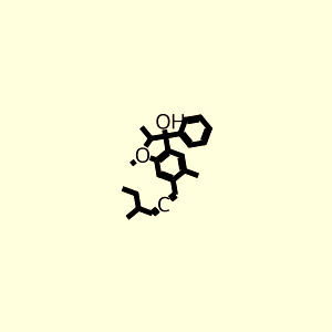 CCC(C)C=C=Cc1cc(OC)c(C(O)(c2ccccc2)C(C)C)cc1C